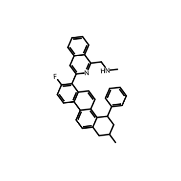 CNCc1nc(-c2c(F)ccc3c2ccc2c4c(ccc23)CC(C)CC4c2ccccc2)cc2ccccc12